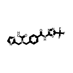 O=C(Nc1nnc(C(F)(F)F)s1)c1ccc(CN(Cc2nccs2)C(=O)O)cc1